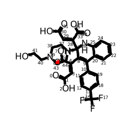 O=C(O)C=C(C(=O)O)C1=C(c2ccc(C(F)(F)F)cc2)c2ccccc2NC1(C(=CC(=O)O)C(=O)O)N1CCN(CCO)CC1